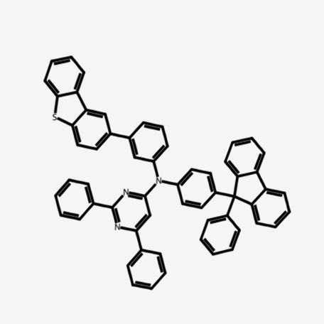 c1ccc(-c2cc(N(c3ccc(C4(c5ccccc5)c5ccccc5-c5ccccc54)cc3)c3cccc(-c4ccc5sc6ccccc6c5c4)c3)nc(-c3ccccc3)n2)cc1